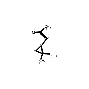 C/C(Cl)=C/C1CC1(C)C